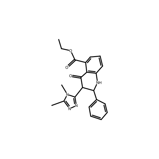 CCOC(=O)c1cccc2c1C(=O)C(c1nnc(C)n1C)C(c1ccccc1)N2